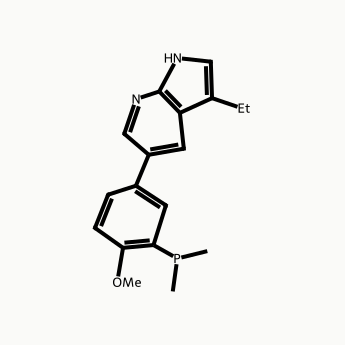 CCc1c[nH]c2ncc(-c3ccc(OC)c(P(C)C)c3)cc12